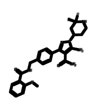 COc1ccccc1C(=O)NCc1ccc(-c2nn(C3CCNC(F)(F)C3)c(N)c2C(N)=O)cc1